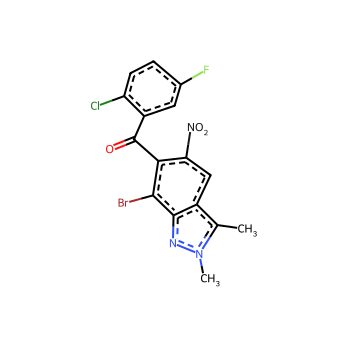 Cc1c2cc([N+](=O)[O-])c(C(=O)c3cc(F)ccc3Cl)c(Br)c2nn1C